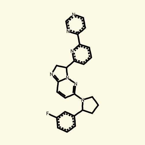 Fc1cccc(C2CCCN2C2=NN3C(=NCC3c3cccc(-c4ccncn4)n3)C=C2)c1